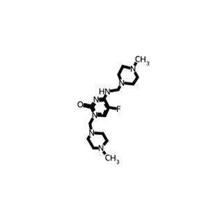 CN1CCN(CNc2nc(=O)n(CN3CCN(C)CC3)cc2F)CC1